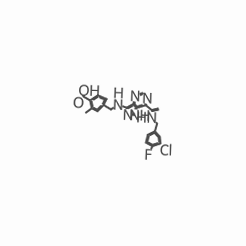 C=C(NCc1ccc(F)c(Cl)c1)c1ncnc2c(NCc3ccc(C(=O)O)c(C)c3)n[nH]c12